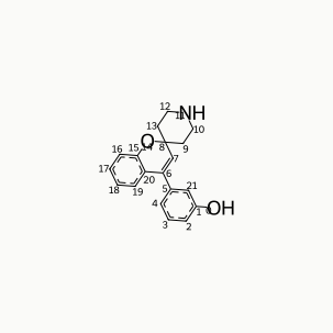 Oc1cccc(C2=CC3(CCNCC3)Oc3ccccc32)c1